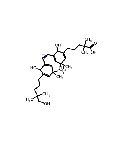 CC1(C)C=C(/C=C\C2=CC(C)(C)C=C(CCCC(C)(C)C(=O)O)C2O)C(O)C(CCCC(C)(C)CO)=C1